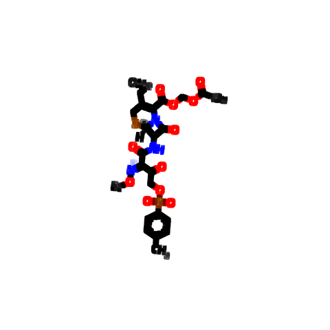 CCO/N=C(\C(=O)COS(=O)(=O)c1ccc(C)cc1)C(=O)NC1C(=O)N2C(C(=O)OCOC(=O)C(C)(C)C)=C(COC)CS[C@H]12